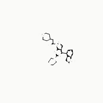 CN1CCC(CC(=O)n2ncc3c(-c4cccc5[nH]ncc45)nc(N4CCOCC4)nc32)CC1